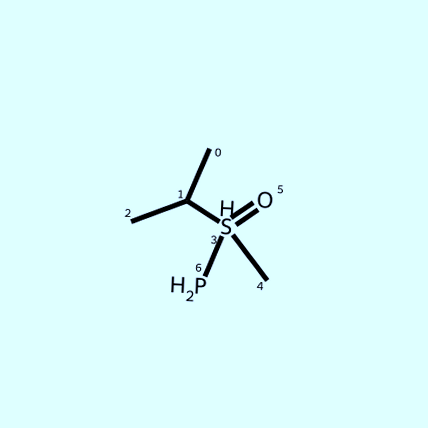 CC(C)[SH](C)(=O)P